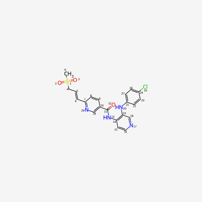 CS(=O)(=O)C/C=C/c1ccc(C(=O)Nc2ccncc2Nc2ccc(Cl)cc2)cn1